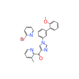 Brc1ccccn1.COc1ccccc1-c1cccc(-n2cnc(C(=O)c3ncccc3C)c2)c1